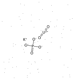 O=P([O-])([O-])[O-].[K+].[O]=[U+2]=[O]